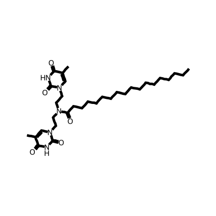 CCCCCCCCCCCCCCCCCC(=O)N(CCn1cc(C)c(=O)[nH]c1=O)CCn1cc(C)c(=O)[nH]c1=O